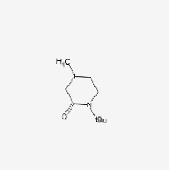 CI1CCN(C(C)(C)C)C(=O)C1